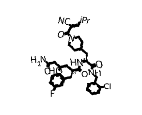 CC(C)C=C(C#N)C(=O)N1CCC(C[C@H](NC(=O)[C@@H](Cc2cccc(F)c2)CC(O)CC(N)=O)C(=O)NCc2ccccc2Cl)CC1